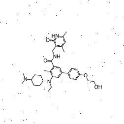 CCN(c1cc(-c2ccc(OCCO)cc2)cc(C(=O)NCc2c(C)cc(C)[nH]c2=O)c1C)[C@H]1CC[C@H](N(C)C)CC1